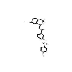 COc1ccc2c(c1)/C(=C/C(=O)c1cccc(NS(=O)(=O)c3ccc([N+](=O)[O-])cc3)c1)NC(C)(C)C2